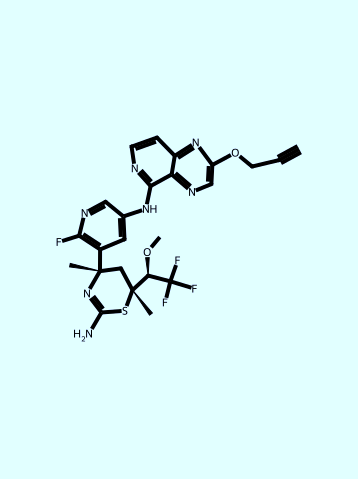 C#CCOc1cnc2c(Nc3cnc(F)c([C@]4(C)C[C@](C)([C@@H](OC)C(F)(F)F)SC(N)=N4)c3)nccc2n1